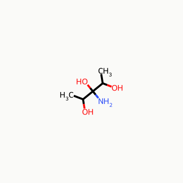 CC(O)C(N)(O)C(C)O